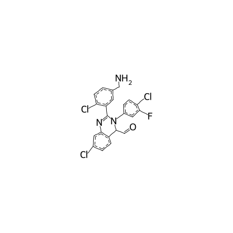 NCc1ccc(Cl)c(C2=Nc3cc(Cl)ccc3C(C=O)N2c2ccc(Cl)c(F)c2)c1